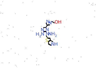 Nc1ncc(-c2cnn(CCO)c2)nc1N(N)Cc1cc2c(s1)C=CNC2